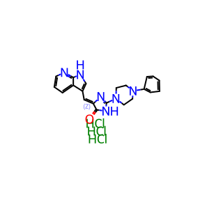 Cl.Cl.Cl.O=C1NC(N2CCN(c3ccccc3)CC2)=N/C1=C\c1c[nH]c2ncccc12